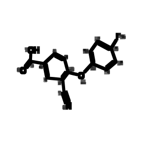 N#Cc1cc(C(=O)O)ccc1Oc1ccc(F)cc1